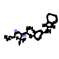 C=C/C=C\C(=C(/N)Oc1ccc(Nc2nc3ccccc3[nH]2)cc1)C(F)(F)F